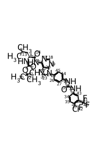 CC(C)C[C@H](NC(=O)OC(C)(C)C)C(=O)Nc1ncnc2c1ncn2-c1ccc(NC(=O)Nc2ccc(Cl)c(C(F)(F)F)c2)cc1